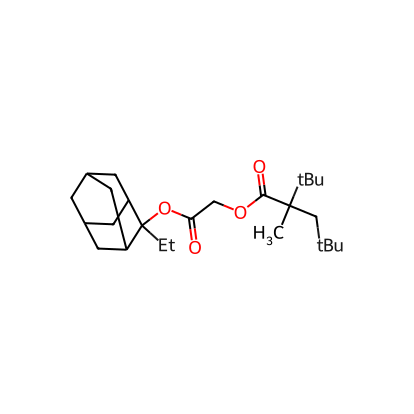 CCC1(OC(=O)COC(=O)C(C)(CC(C)(C)C)C(C)(C)C)C2CC3CC(C2)CC1C3